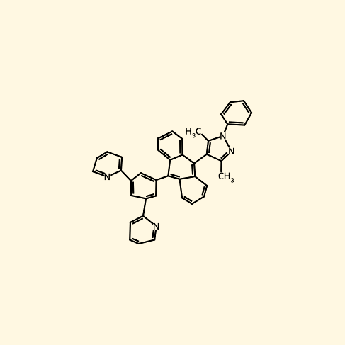 Cc1nn(-c2ccccc2)c(C)c1-c1c2ccccc2c(-c2cc(-c3ccccn3)cc(-c3ccccn3)c2)c2ccccc12